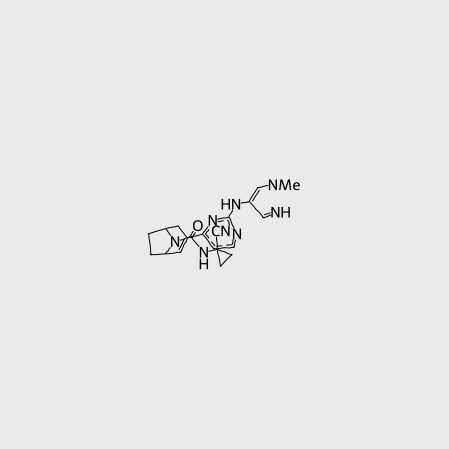 CN/C=C(\C=N)Nc1nccc(C2=CC3CCC(C2)N3C(=O)NC2(C#N)CC2)n1